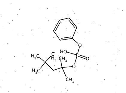 CC(C)(C)CC(C)(C)OP(=O)(O)Oc1ccccc1